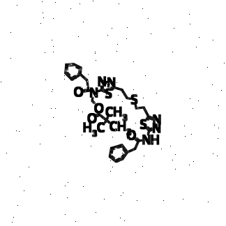 CC(C)(C)C(=O)OCN(C(=O)Cc1ccccc1)c1nnc(CCSCCc2nnc(NC(=O)Cc3ccccc3)s2)s1